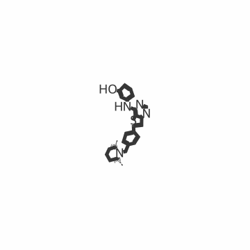 C[C@@H]1CCC[C@H](C)N1Cc1ccc(-c2cc3ncnc(Nc4cccc(O)c4)c3s2)cc1